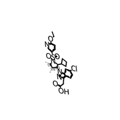 CCOc1ccc(S(=O)(=O)N2C(C3CCC3)[C@H](n3nc(CC(=O)O)c4ccc(Cl)cc43)[C@H](C)[C@@H]2C)cn1